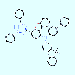 CC1(C)C2=C(C=CC(N(c3ccc(-c4ccccc4)cc3)c3ccc(C4=NC(c5ccccc5)NC(c5ccccc5)=N4)c4oc5ccccc5c34)C2)c2ccccc21